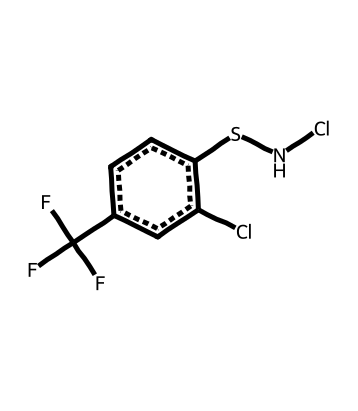 FC(F)(F)c1ccc(SNCl)c(Cl)c1